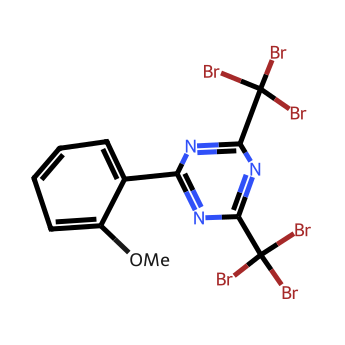 COc1ccccc1-c1nc(C(Br)(Br)Br)nc(C(Br)(Br)Br)n1